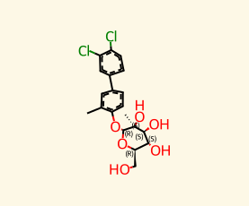 Cc1cc(-c2ccc(Cl)c(Cl)c2)ccc1O[C@H]1O[C@H](CO)[C@@H](O)[C@H](O)[C@]1(C)O